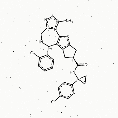 Cc1nnc2n1-c1sc3c(c1[C@H](c1ccccc1Cl)NC2)C[C@H](C(=O)NC1(c2ccc(Cl)cn2)CC1)C3